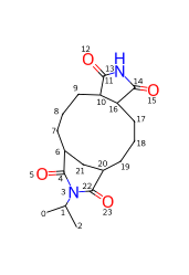 CC(C)N1C(=O)C2CCCC3C(=O)NC(=O)C3CCCC(C2)C1=O